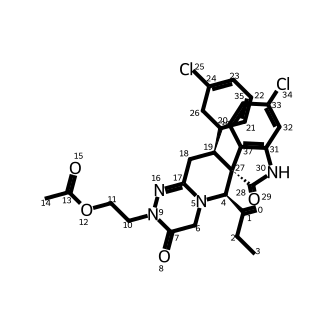 C=C(CC)[C@H]1N2CC(=O)N(CCOC(C)=O)N=C2C[C@@H](C2C=CC=C(Cl)C2)[C@]12C(=O)Nc1cc(Cl)ccc12